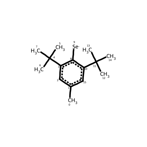 Cc1cc(C(C)(C)C)c([Se])c(C(C)(C)C)c1